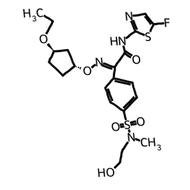 CCO[C@@H]1CC[C@@H](O/N=C(/C(=O)Nc2ncc(F)s2)c2ccc(S(=O)(=O)N(C)CCO)cc2)C1